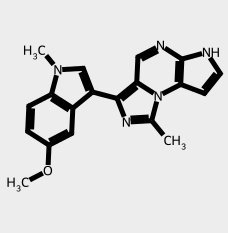 COc1ccc2c(c1)c(-c1nc(C)n3c1cnc1[nH]ccc13)cn2C